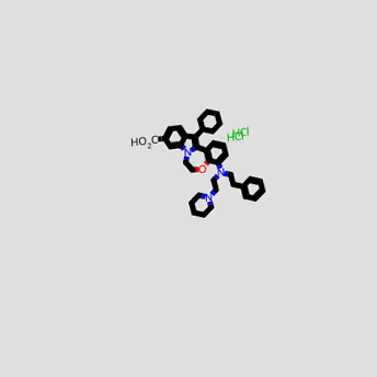 Cl.Cl.O=C(O)c1ccc2c(C3CCCCC3)c3n(c2c1)CCOc1c-3cccc1N(CCc1ccccc1)CCN1CCCCC1